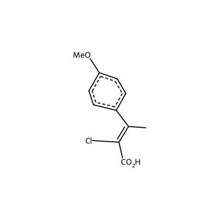 COc1ccc(/C(C)=C(\Cl)C(=O)O)cc1